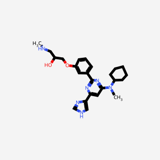 CNCC(O)COc1cccc(-c2nc(-c3c[nH]cn3)cc(N(C)C3CCCCC3)n2)c1